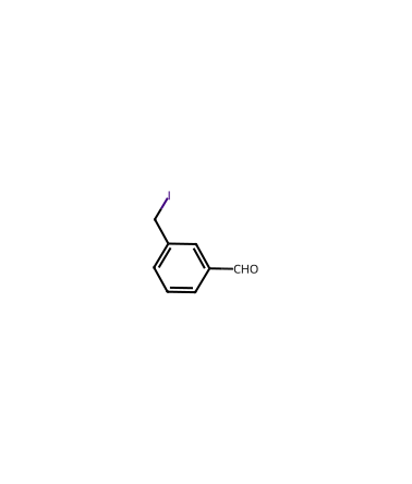 O=Cc1cccc(CI)c1